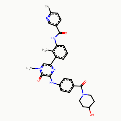 Cc1c(NC(=O)c2ccc(C(C)(C)C)nc2)cccc1-c1cn(C)c(=O)c(Nc2ccc(C(=O)N3CCC(O)CC3)cc2)n1